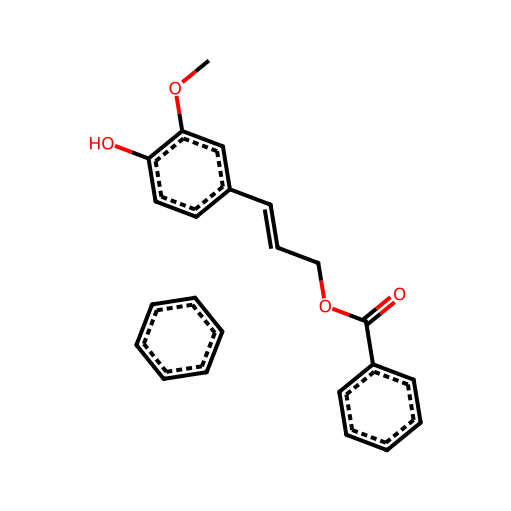 COc1cc(/C=C/COC(=O)c2ccccc2)ccc1O.c1ccccc1